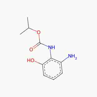 CC(C)OC(=O)Nc1c(N)cccc1O